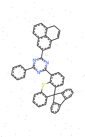 C1=Cc2cc(-c3nc(-c4ccccc4)nc(-c4cccc5c4Sc4ccccc4C54c5ccccc5-c5ccccc54)n3)cc3cccc(c23)C1